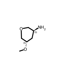 CO[C@@H]1COC[C@@H](N)C1